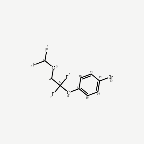 FC(F)OCC(F)(F)Oc1ccc(Br)cc1